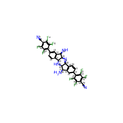 N#Cc1c(F)c(F)c(-c2ccc3c(c2)C(=N)C2N=C4c5ccc(-c6c(F)c(F)c(C#N)c(F)c6F)cc5C(N)C4NC32)c(F)c1F